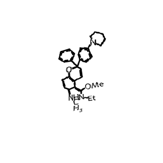 CCN(C)/C(OC)=C1\C(=N)C=CC2=C1C=CC(c1ccccc1)(c1ccc(N3CCCCC3)cc1)O2